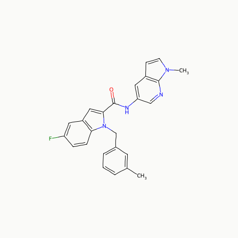 Cc1cccc(Cn2c(C(=O)Nc3cnc4c(ccn4C)c3)cc3cc(F)ccc32)c1